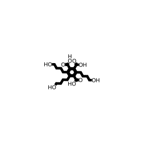 O=C(O)c1c(CCCCO)c(CCCCO)c(C(=O)O)c(C(=O)O)c1CCCCO